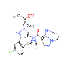 Cc1ccc(F)cc1-c1nn(CC(C)(C)O)cc1NC(=O)c1cnn2cccnc12